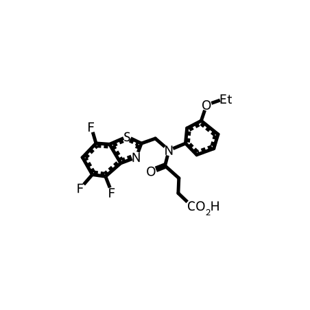 CCOc1cccc(N(Cc2nc3c(F)c(F)cc(F)c3s2)C(=O)CCC(=O)O)c1